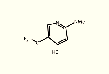 CNc1ccc(OC(F)(F)F)cn1.Cl